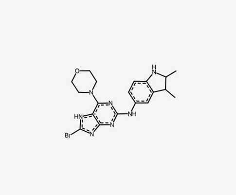 CC1Nc2ccc(Nc3nc(N4CCOCC4)c4[nH]c(Br)nc4n3)cc2C1C